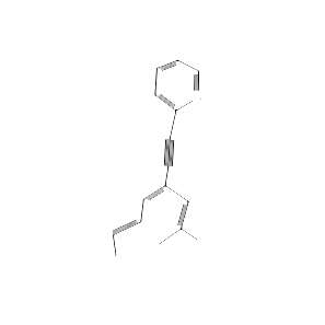 CC(=O)/C(C)=C/C(C#Cc1ccccn1)=C\C=C\F